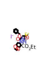 CCOC(=O)[C@@H]1CC2(CC[C@@H]1NC(=O)[C@@](CC[S+](C)C)(N=C=O)OCc1ccccc1)OCCO2.[I-]